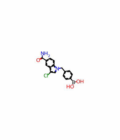 NC(=O)c1ccc2c(c1)c(Cl)cn2Cc1ccc(B(O)O)cc1